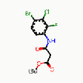 CC(C)(C)OC(=O)CC(=O)Nc1ccc(Br)c(Cl)c1F